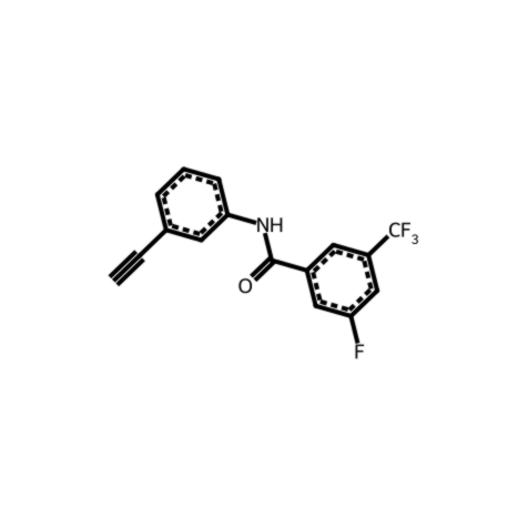 C#Cc1cccc(NC(=O)c2cc(F)cc(C(F)(F)F)c2)c1